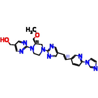 COC[C@H]1CN(c2ncc(/C=C/c3ccc(-n4ccnc4)nc3)cn2)CCN1c1ncc(CO)cn1